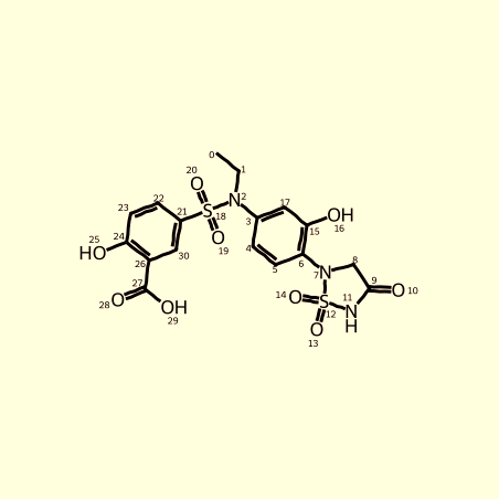 CCN(c1ccc(N2CC(=O)NS2(=O)=O)c(O)c1)S(=O)(=O)c1ccc(O)c(C(=O)O)c1